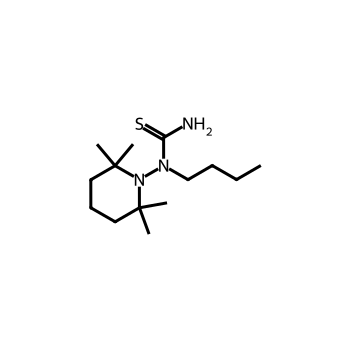 CCCCN(C(N)=S)N1C(C)(C)CCCC1(C)C